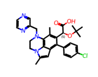 Cc1c([C@H](OC(C)(C)C)C(=O)O)c(-c2ccc(Cl)cc2)c2cc(C)n3c2c1N(Cc1cnccn1)CC3